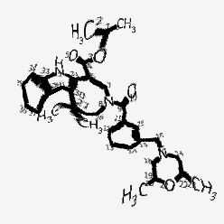 CC(C)OC(=O)C1=CN(C(=O)c2cccc(CN3CC(C)OC(C)C3)c2)CC(C)(C)c2c1[nH]c1ccccc21